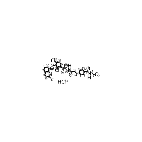 COCCNC(=O)c1ccc(C=CC(=O)NCC(=O)N(C)c2ccc(Cl)c(COc3cccc4ccc(C)nc34)c2Cl)cc1.Cl